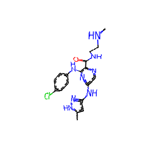 CNCCNC(=O)c1ncc(Nc2cc(C)[nH]n2)nc1Nc1ccc(Cl)cc1